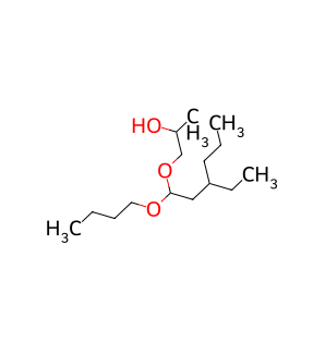 CCCCOC(CC(CC)CCC)OCC(C)O